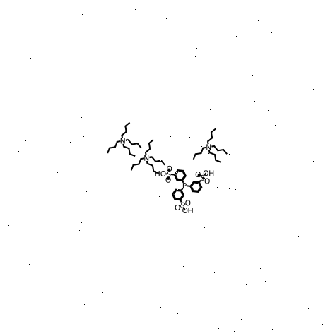 CCCC[N+](CCCC)(CCCC)CCCC.CCCC[N+](CCCC)(CCCC)CCCC.CCCC[N+](CCCC)(CCCC)CCCC.O=S(=O)(O)c1cccc(P(c2cccc(S(=O)(=O)O)c2)c2cccc(S(=O)(=O)O)c2)c1